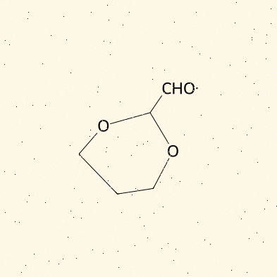 O=[C]C1OCCCO1